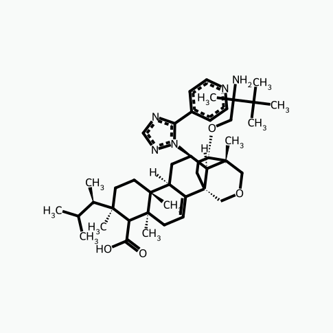 CC(C)[C@@H](C)[C@@]1(C)CC[C@]2(C)[C@H]3CC[C@@H]4[C@@]5(COC[C@@]4(C)[C@@H](OCC(C)(N)C(C)(C)C)[C@H](n4ncnc4-c4ccncc4)C5)C3=CC[C@@]2(C)C1C(=O)O